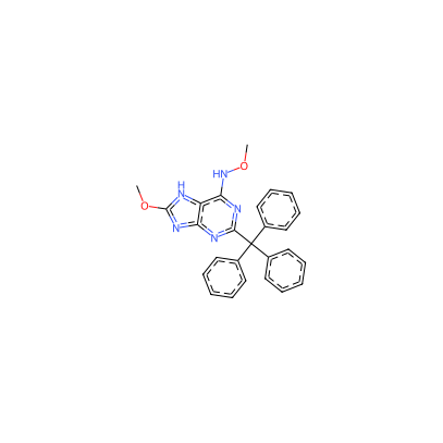 CONc1nc(C(c2ccccc2)(c2ccccc2)c2ccccc2)nc2nc(OC)[nH]c12